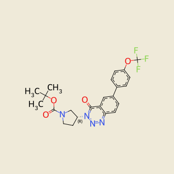 CC(C)(C)OC(=O)N1CC[C@@H](n2nnc3ccc(-c4ccc(OC(F)(F)F)cc4)cc3c2=O)C1